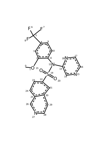 COc1cc(C(F)(F)F)ccc1N(c1cnccn1)S(=O)(=O)c1ccc2cnccc2c1